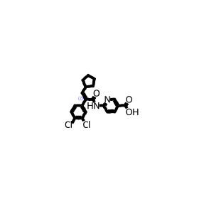 O=C(Nc1ccc(C(=O)O)cn1)/C(=C\C1CCCC1)c1ccc(Cl)c(Cl)c1